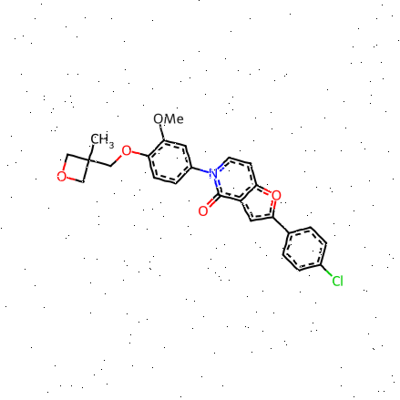 COc1cc(-n2ccc3oc(-c4ccc(Cl)cc4)cc3c2=O)ccc1OCC1(C)COC1